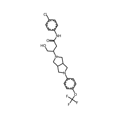 O=C(CC(CO)N1CC2CN(c3ccc(OC(F)(F)F)cc3)CC2C1)Nc1ccc(Cl)cc1